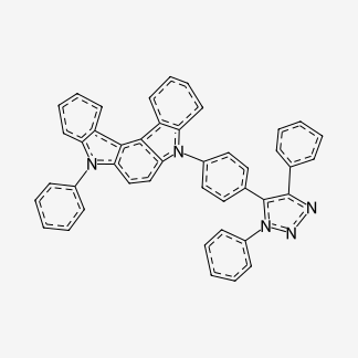 c1ccc(-c2nnn(-c3ccccc3)c2-c2ccc(-n3c4ccccc4c4c5c6ccccc6n(-c6ccccc6)c5ccc43)cc2)cc1